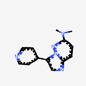 CN(C)c1ccc2ncc(-c3ccncc3)n2n1